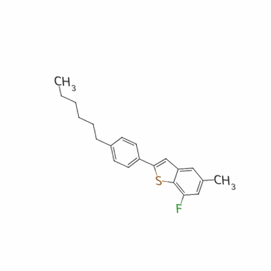 CCCCCCc1ccc(-c2cc3cc(C)cc(F)c3s2)cc1